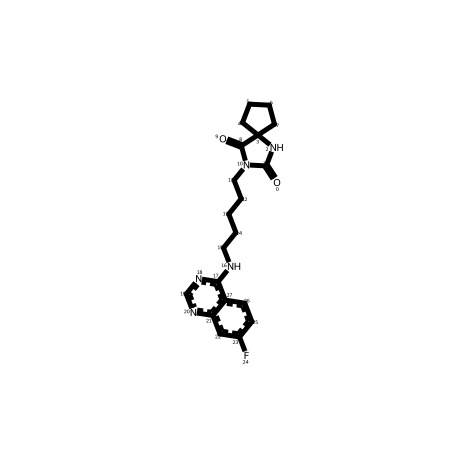 O=C1NC2(CCCC2)C(=O)N1CCCCCNc1ncnc2cc(F)ccc12